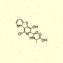 CC(NC(=O)c1nc(Cl)c2c(sc3cccnc32)c1O)C(=O)O